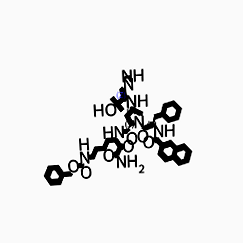 CC(C)(O)/C(=C/N=N)N[C@H]1C[C@@H](C(=O)NC(CCCCNC(=O)OCc2ccccc2)C(=O)C(N)=O)N(C(=O)[C@@H](CC2CCCCC2)NC(=O)c2ccc3ccccc3c2)C1